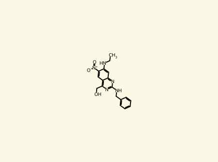 CCNc1cc2nc(NCc3ccccc3)nc(CO)c2cc1[N+](=O)[O-]